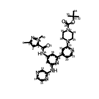 Cc1cc(C(=O)Nc2cc(Nc3cnccn3)nc(-c3ccnc(N4CCN(C(=O)OC(C)(C)C)CC4)c3)c2)n(C)n1